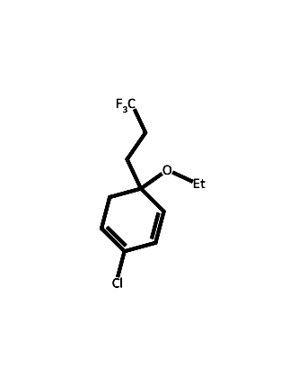 CCOC1(CCC(F)(F)F)C=CC(Cl)=CC1